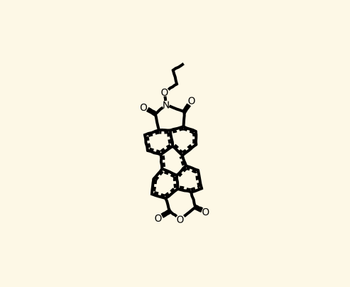 CCCON1C(=O)c2ccc3c4ccc5c6c(ccc(c7ccc(c2c37)C1=O)c64)C(=O)OC5=O